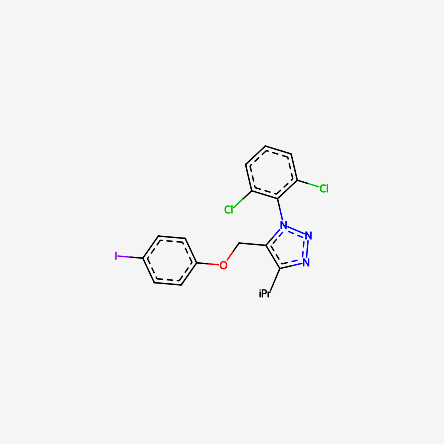 CC(C)c1nnn(-c2c(Cl)cccc2Cl)c1COc1ccc(I)cc1